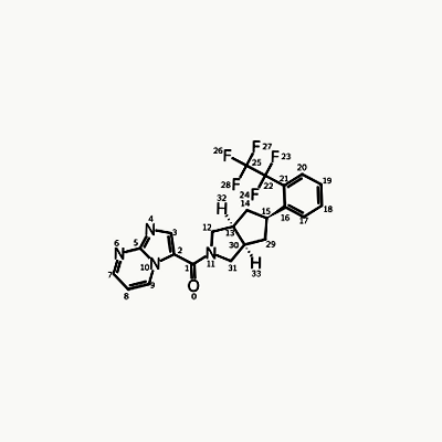 O=C(c1cnc2ncccn12)N1C[C@H]2C[C@@H](c3ccccc3C(F)(F)C(F)(F)F)C[C@H]2C1